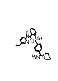 N=C(c1ccc(CNc2ccccc2C(=O)Nc2ccc(CI)cn2)cc1)N1CCSCC1